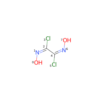 O/N=C(Cl)\C(Cl)=N/O